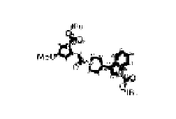 CO[C@@H]1C[C@@H](CC(=O)N2CCC(c3cn(C(=O)OC(C)(C)C)c4ccccc34)CC2)N(C(=O)OC(C)(C)C)C1